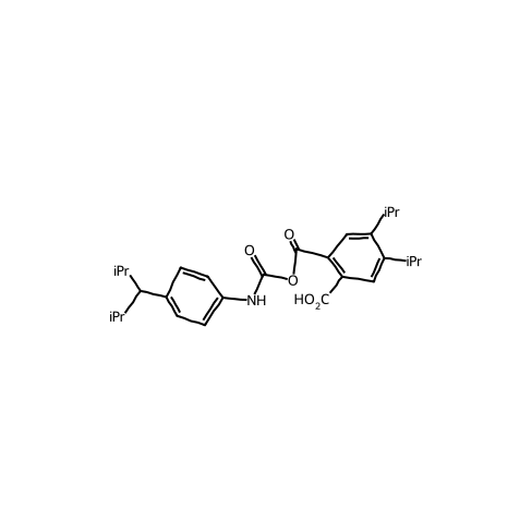 CC(C)c1cc(C(=O)O)c(C(=O)OC(=O)Nc2ccc(C(C(C)C)C(C)C)cc2)cc1C(C)C